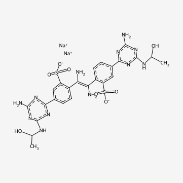 CC(O)Nc1nc(N)nc(-c2ccc(C(N)=C(N)c3ccc(-c4nc(N)nc(NC(C)O)n4)cc3S(=O)(=O)[O-])c(S(=O)(=O)[O-])c2)n1.[Na+].[Na+]